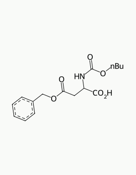 CCCCOC(=O)NC(CC(=O)OCc1ccccc1)C(=O)O